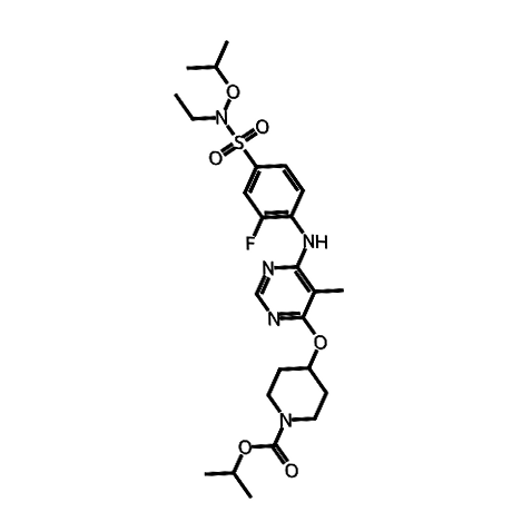 CCN(OC(C)C)S(=O)(=O)c1ccc(Nc2ncnc(OC3CCN(C(=O)OC(C)C)CC3)c2C)c(F)c1